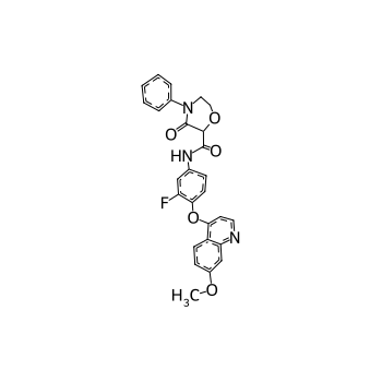 COc1ccc2c(Oc3ccc(NC(=O)C4OCCN(c5ccccc5)C4=O)cc3F)ccnc2c1